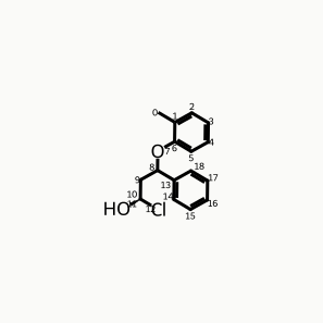 Cc1ccccc1OC(C[C@H](O)Cl)c1ccccc1